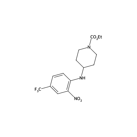 CCOC(=O)N1CCC(Nc2ccc(C(F)(F)F)cc2[N+](=O)[O-])CC1